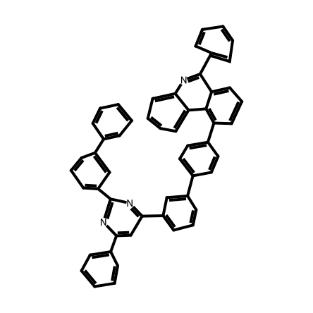 c1ccc(-c2cccc(-c3nc(-c4ccccc4)cc(-c4cccc(-c5ccc(-c6cccc7c(-c8ccccc8)nc8ccccc8c67)cc5)c4)n3)c2)cc1